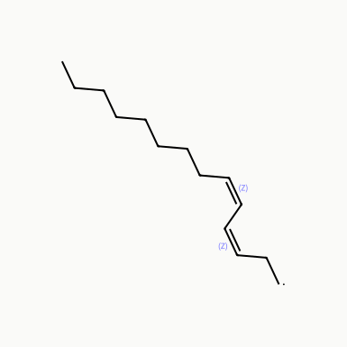 [CH2]C/C=C\C=C/CCCCCCCC